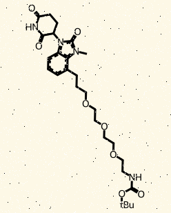 Cn1c(=O)n(C2CCC(=O)NC2=O)c2cccc(CCCOCCOCCOCCNC(=O)OC(C)(C)C)c21